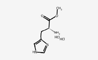 COC(=O)[C@H](N)Cc1c[nH]cn1.Cl.Cl